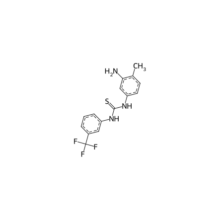 Cc1ccc(NC(=S)Nc2cccc(C(F)(F)F)c2)cc1N